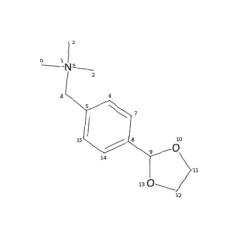 C[N+](C)(C)Cc1ccc(C2OCCO2)cc1